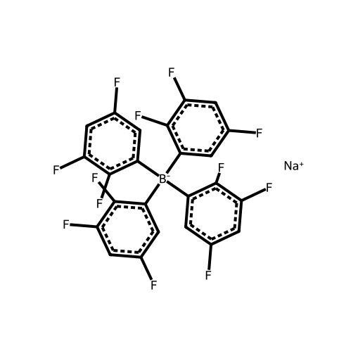 Fc1cc(F)c(F)c([B-](c2cc(F)cc(F)c2F)(c2cc(F)cc(F)c2F)c2cc(F)cc(F)c2F)c1.[Na+]